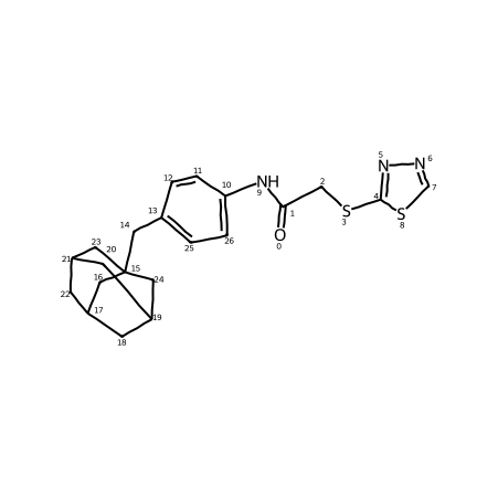 O=C(CSc1nncs1)Nc1ccc(CC23CC4CC(CC(C4)C2)C3)cc1